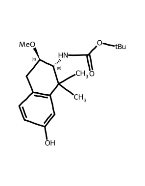 CO[C@@H]1Cc2ccc(O)cc2C(C)(C)[C@H]1NC(=O)OC(C)(C)C